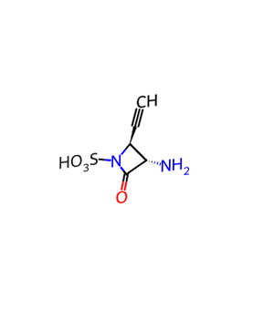 C#C[C@H]1[C@H](N)C(=O)N1S(=O)(=O)O